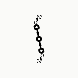 C[N+](C)(C)CCOc1ccc(C#Cc2ccc(C#Cc3ccc(OCC[N+](C)(C)C)cc3)cc2)cc1